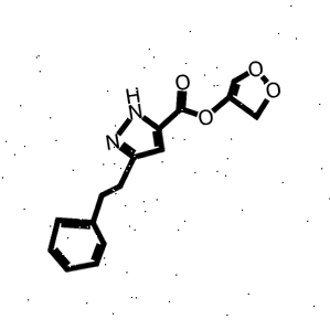 O=C(OC1=COOC1)c1cc(CCc2ccccc2)n[nH]1